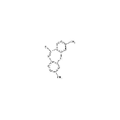 Cc1ccc2c(c1)Oc1cc(C)ccc1C(Cl)=N2